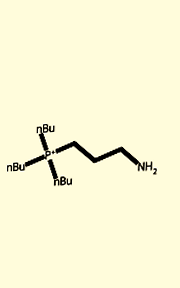 CCCC[P+](CCCC)(CCCC)CCCN